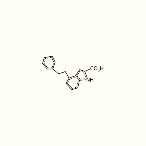 O=C(O)c1cc2c(CCc3ccccc3)cccc2[nH]1